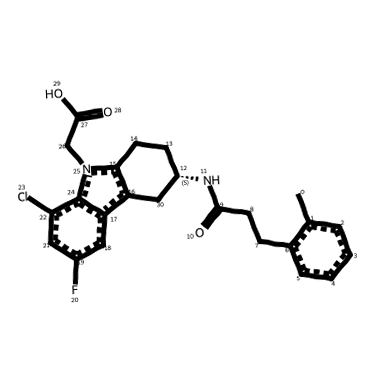 Cc1ccccc1CCC(=O)N[C@H]1CCc2c(c3cc(F)cc(Cl)c3n2CC(=O)O)C1